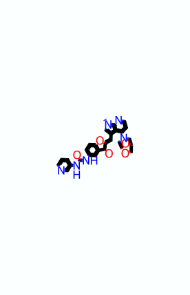 Cn1cc(C=C2Oc3ccc(NC(=O)Nc4cccnc4)cc3C2=O)c2c(N3CC4COC(C3)O4)ccnc21